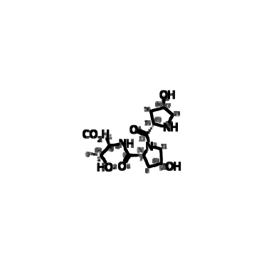 C[C@@H](O)[C@H](NC(=O)[C@@H]1C[C@@H](O)CN1C(=O)[C@@H]1C[C@@H](O)CN1)C(=O)O